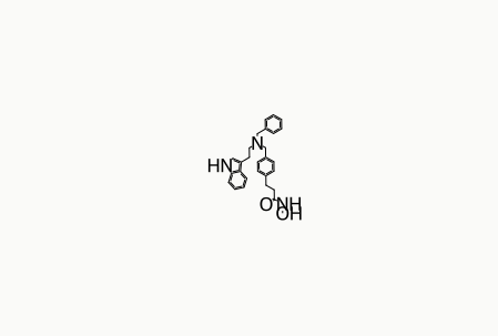 O=C(CCc1ccc(CN(CCc2c[nH]c3ccccc23)Cc2ccccc2)cc1)NO